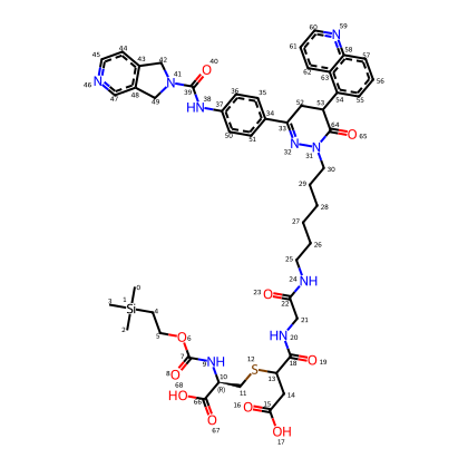 C[Si](C)(C)CCOC(=O)N[C@@H](CSC(CC(=O)O)C(=O)NCC(=O)NCCCCCCN1N=C(c2ccc(NC(=O)N3Cc4ccncc4C3)cc2)CC(c2cccc3ncccc23)C1=O)C(=O)O